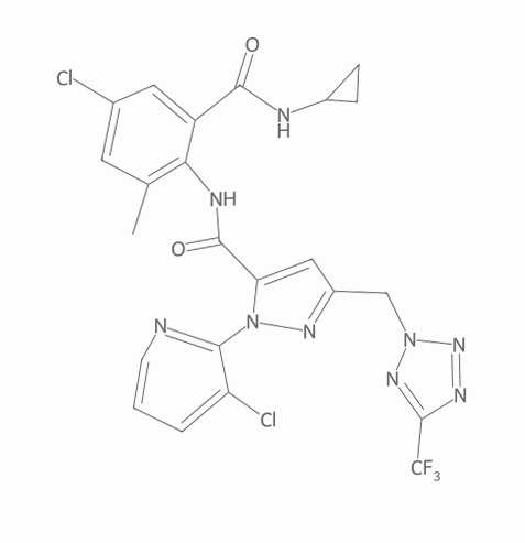 Cc1cc(Cl)cc(C(=O)NC2CC2)c1NC(=O)c1cc(Cn2nnc(C(F)(F)F)n2)nn1-c1ncccc1Cl